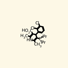 CC1=C(C(=O)O)C(c2cccc(Cl)c2Cl)C(P(C(C)C)C(C)C)=C(C)N1